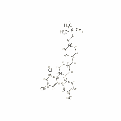 CC(C)(C)CCN1CCC(CN2CCN(c3ccc(Cl)cc3Cl)C(c3ccc(Cl)cc3)C2)CC1